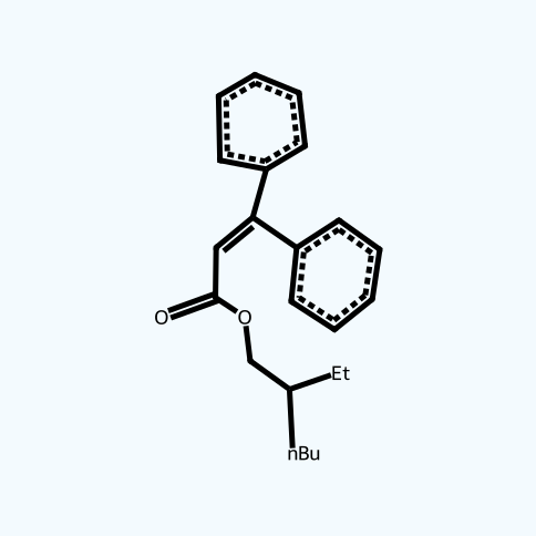 CCCCC(CC)COC(=O)C=C(c1ccccc1)c1ccccc1